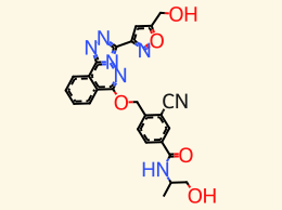 CC(CO)NC(=O)c1ccc(COc2nn3c(-c4cc(CO)on4)nnc3c3ccccc23)c(C#N)c1